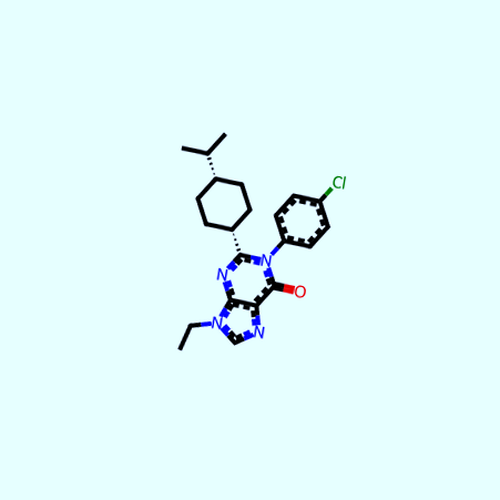 CCn1cnc2c(=O)n(-c3ccc(Cl)cc3)c([C@H]3CC[C@@H](C(C)C)CC3)nc21